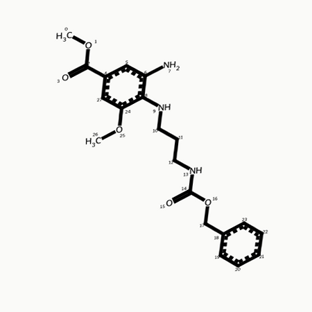 COC(=O)c1cc(N)c(NCCCNC(=O)OCc2ccccc2)c(OC)c1